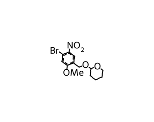 COc1cc(Br)c([N+](=O)[O-])cc1COC1CCCCO1